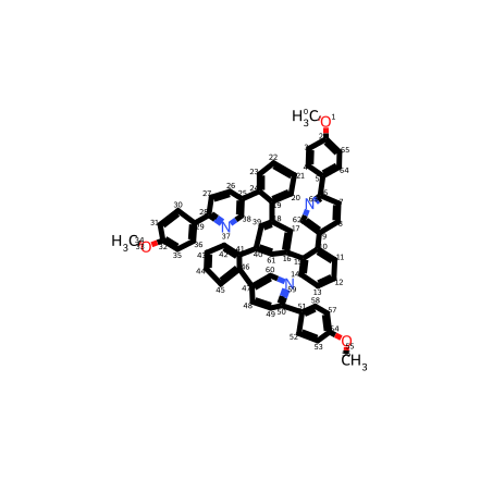 COc1ccc(-c2ccc(-c3ccccc3-c3cc(-c4ccccc4-c4ccc(-c5ccc(OC)cc5)nc4)cc(-c4ccccc4-c4ccc(-c5ccc(OC)cc5)nc4)c3)cn2)cc1